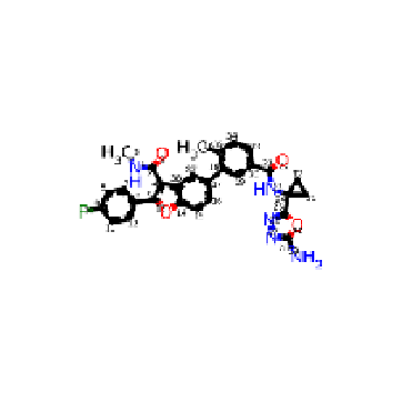 CNC(=O)c1c(-c2ccc(F)cc2)oc2ccc(-c3cc(C(=O)NC4(c5nnc(N)o5)CC4)ccc3C)cc12